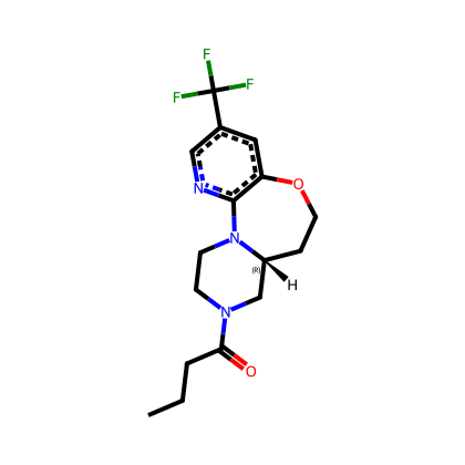 CCCC(=O)N1CCN2c3ncc(C(F)(F)F)cc3OCC[C@@H]2C1